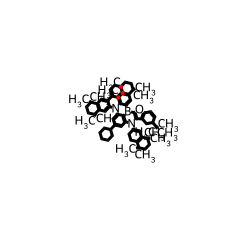 CC1(C)CCC(C)(C)C2=C1C=C(N1c3cc(C4CCCCC4)cc4c3B(c3cc5c(cc3N4c3cc4c(cc3C3=CCCC=C3)C(C)(C)CCC4(C)C)C(C)(C)CCC5(C)C)c3oc4c(c31)CC(C(C)(C)C)C=C4)CC2